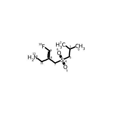 CC(C)CS(=O)(=O)CC(=CF)CN